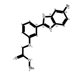 CC(C)(C)OC(=O)COc1cccc(-c2nc3ccc(Br)cc3o2)c1